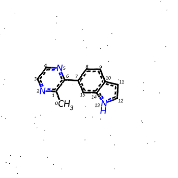 Cc1nccnc1-c1ccc2cc[nH]c2c1